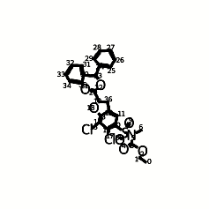 CCOC(=O)N(C)S(=O)(=O)c1cc2c(c(Cl)c1Cl)OC(C(=O)OC(c1ccccc1)c1ccccc1)C2